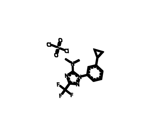 CN(C)c1nc(C(F)(F)F)nn1-c1cccc(C2CC2)c1.O=S(=O)(Cl)Cl